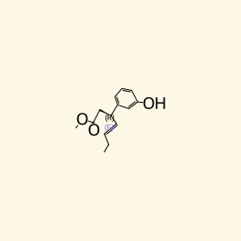 CC/C=C/[C@@H](CC(=O)OC)c1cccc(O)c1